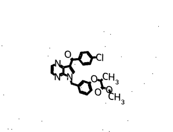 COC(=O)C(C)Oc1cccc(Cn2cc(C(=O)c3ccc(Cl)cc3)c3nccnc32)c1